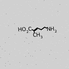 CC(=CCCN)C(=O)O